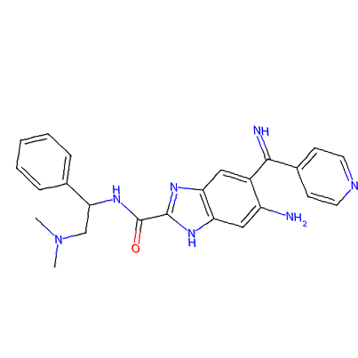 CN(C)CC(NC(=O)c1nc2cc(C(=N)c3ccncc3)c(N)cc2[nH]1)c1ccccc1